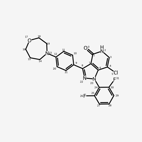 O=c1[nH]cc(Cl)c2c1c(-c1ccc(N3CCCOCC3)cc1)nn2-c1c(F)cccc1F